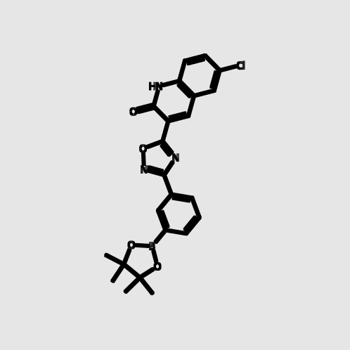 CC1(C)OB(c2cccc(-c3noc(-c4cc5cc(Cl)ccc5[nH]c4=O)n3)c2)OC1(C)C